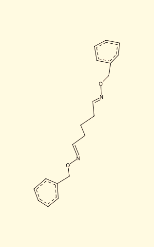 C(CCCC=NOCc1ccccc1)=NOCc1ccccc1